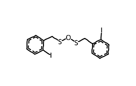 Ic1ccccc1CSOSCc1ccccc1I